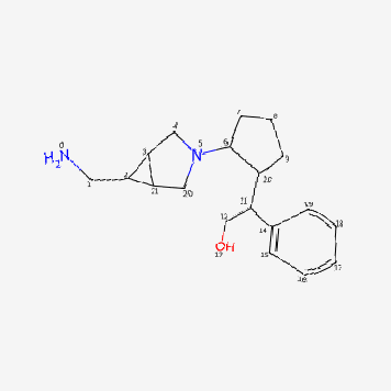 NCC1C2CN(C3CCCC3C(CO)c3ccccc3)CC12